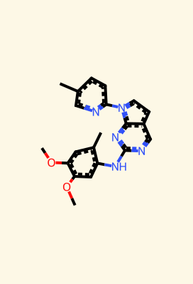 COc1cc(C)c(Nc2ncc3ccn(-c4ccc(C)cn4)c3n2)cc1OC